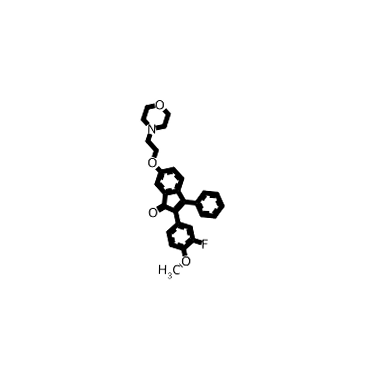 COc1ccc(C2=C(c3ccccc3)c3ccc(OCCN4CCOCC4)cc3C2=O)cc1F